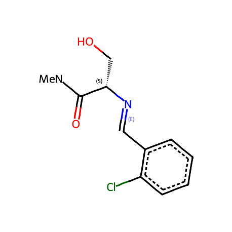 CNC(=O)[C@H](CO)/N=C/c1ccccc1Cl